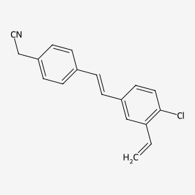 C=Cc1cc(/C=C/c2ccc(CC#N)cc2)ccc1Cl